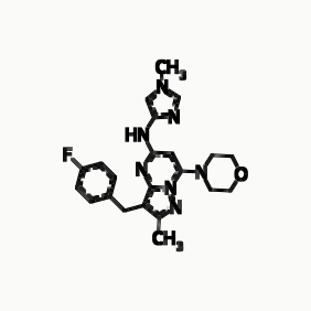 Cc1nn2c(N3CCOCC3)cc(Nc3cn(C)cn3)nc2c1Cc1ccc(F)cc1